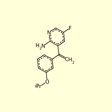 C=C(c1cccc(OC(C)C)c1)c1cc(F)cnc1N